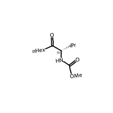 CCCCCCC(=O)[C@@H](NC(=O)OC)C(C)C